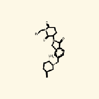 C=C1CC[C@H](N)[C@@H](Cc2ccc3c(c2)CN(C2CCC(=O)N(C[C](C)C)C2=O)C3=O)C1